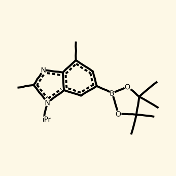 Cc1cc(B2OC(C)(C)C(C)(C)O2)cc2c1nc(C)n2C(C)C